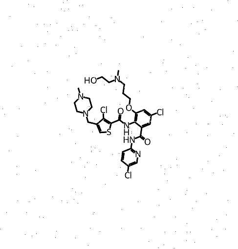 CN(CCO)CCCOc1cc(Cl)cc(C(=O)Nc2ccc(Cl)cn2)c1NC(=O)c1scc(CN2CCN(C)CC2)c1Cl